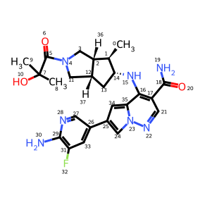 C[C@@H]1[C@H]2CN(C(=O)C(C)(C)O)C[C@H]2C[C@H]1Nc1c(C(N)=O)cnn2cc(-c3cnc(N)c(F)c3)cc12